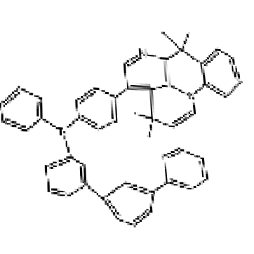 CC1(C)C=CN2c3ccccc3C(C)(C)c3ncc(-c4ccc(N(c5ccccc5)c5cccc(-c6cccc(-c7ccccc7)c6)c5)cc4)c1c32